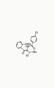 CCc1ccc(C(=O)NN(C(=O)c2cccnc2OC)C(CC)C(C)(C)C)cc1